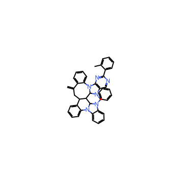 C=C1CC2c3ccccc3N3c4ccccc4N(c4ccccc4)C3C2C2N(C)c3cnc(-c4ccccc4C)nc3N2c2ccccc21